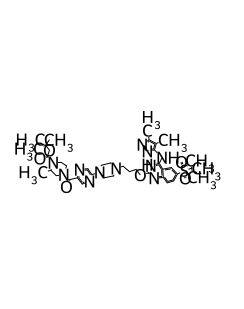 Cc1n[nH]c(Nc2nc(OCCCN3CCN(c4cnc(C(=O)N5CCN(C(=O)OC(C)(C)C)C(C)C5)cn4)CC3)nc3ccc(S(=O)(=O)C(C)(C)C)cc23)c1C